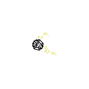 S.S.S.S.S.[CH]12[CH]3[CH]4[CH]5[CH]1[Fe]23451678[CH]2[CH]1[CH]6[CH]7[CH]28